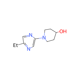 CCc1cnc(N2CCC(O)CC2)cn1